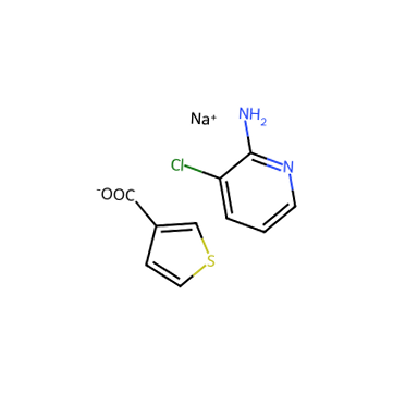 Nc1ncccc1Cl.O=C([O-])c1ccsc1.[Na+]